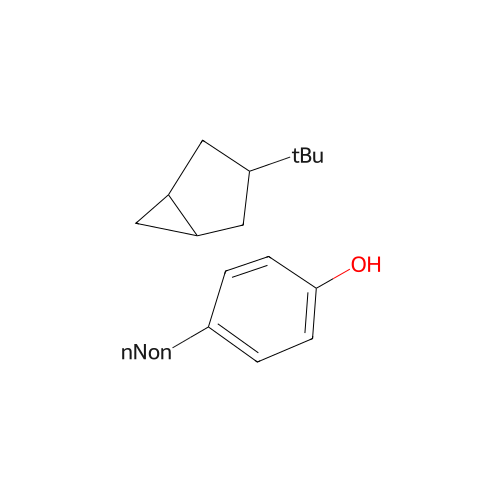 CC(C)(C)C1CC2CC2C1.CCCCCCCCCc1ccc(O)cc1